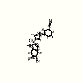 N#Cc1cccc(-c2cc(S(=O)(=O)Nc3cc(F)c(Br)cc3F)c[nH]2)c1